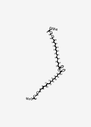 COC(C)OCOCCCCCCCCCCCCCCCC(=O)OC(=O)CCCCCCCCCCCCCCCOCOC(C)OC